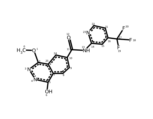 COc1nnc(O)c2ccc(C(=O)Nc3cc(C(F)(F)F)ccn3)cc12